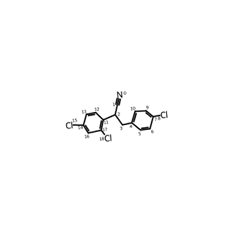 N#CC(Cc1ccc(Cl)cc1)c1ccc(Cl)cc1Cl